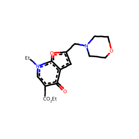 CCOC(=O)c1cn(CC)c2oc(CN3CCOCC3)cc2c1=O